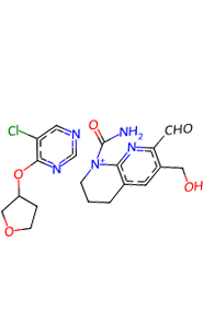 NC(=O)[N@@+]1(c2ncc(Cl)c(OC3CCOC3)n2)CCCc2cc(CO)c(C=O)nc21